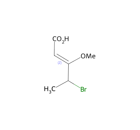 CO/C(=C\C(=O)O)C(C)Br